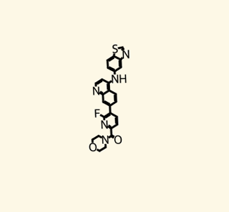 O=C(c1ccc(-c2ccc3c(Nc4ccc5scnc5c4)ccnc3c2)c(F)n1)N1CCOCC1